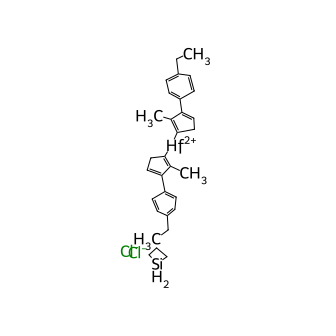 C1C[SiH2]C1.CCc1ccc(C2=CC[C]([Hf+2][C]3=C(C)C(c4ccc(CC)cc4)=CC3)=C2C)cc1.[Cl-].[Cl-]